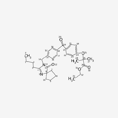 CCCCC1=NC2(CCCC2)C(=O)N1Cc1ccc(C(=O)c2ccc(OC(C)(C)C(=O)OCC)cc2)cc1